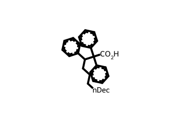 CCCCCCCCCCCCCC(c1ccccc1)C(C(=O)O)(c1ccccc1)c1ccccc1